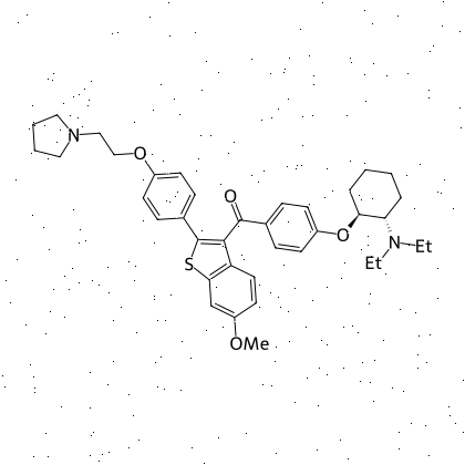 CCN(CC)[C@H]1CCCC[C@@H]1Oc1ccc(C(=O)c2c(-c3ccc(OCCN4CCCC4)cc3)sc3cc(OC)ccc23)cc1